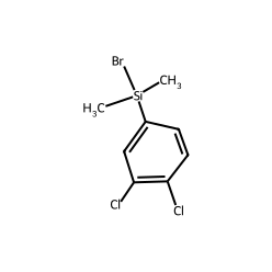 C[Si](C)(Br)c1ccc(Cl)c(Cl)c1